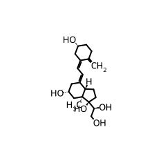 C=C1CC[C@@H](O)C/C1=C/C=C1\C[C@@H](O)C[C@@]2(C)[C@H]1CC[C@]2(O)[C@@H](O)CO